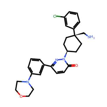 NC[C@]1(c2cccc(Cl)c2)CC[C@H](n2nc(-c3cccc(N4CCOCC4)c3)ccc2=O)CC1